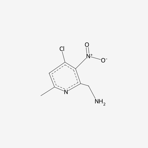 Cc1cc(Cl)c([N+](=O)[O-])c(CN)n1